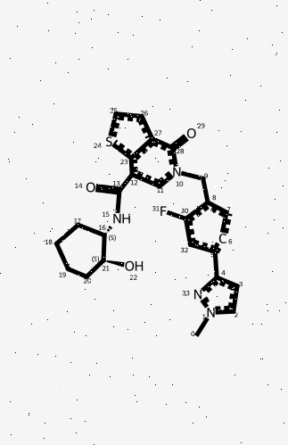 Cn1ccc(-c2ccc(Cn3cc(C(=O)N[C@H]4CCCC[C@@H]4O)c4sccc4c3=O)c(F)c2)n1